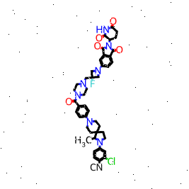 CC1N(c2ccc(C#N)c(Cl)c2)CCC12CCN(c1ccc(C(=O)N3CCN(CC4(F)CN(c5ccc6c(c5)C(=O)N(C5CCC(=O)NC5=O)C6=O)C4)CC3)cc1)CC2